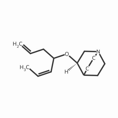 C=CCC(/C=C\C)O[C@H]1CN2CCC1CC2